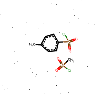 CS(=O)(=O)Cl.Cc1ccc(S(=O)(=O)Cl)cc1